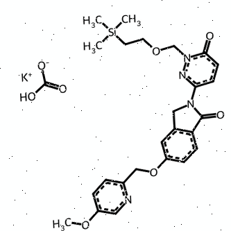 COc1ccc(COc2ccc3c(c2)CN(c2ccc(=O)n(COCC[Si](C)(C)C)n2)C3=O)nc1.O=C([O-])O.[K+]